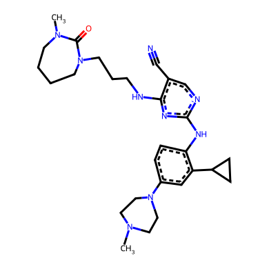 CN1CCN(c2ccc(Nc3ncc(C#N)c(NCCCN4CCCCN(C)C4=O)n3)c(C3CC3)c2)CC1